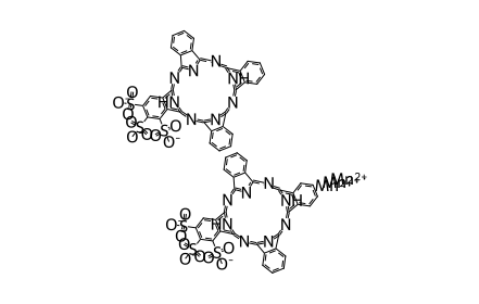 O=S(=O)([O-])c1cc2c3nc4nc(nc5[nH]c(nc6nc(nc([nH]3)c2c(S(=O)(=O)[O-])c1S(=O)(=O)[O-])-c1ccccc1-6)c1ccccc51)-c1ccccc1-4.O=S(=O)([O-])c1cc2c3nc4nc(nc5[nH]c(nc6nc(nc([nH]3)c2c(S(=O)(=O)[O-])c1S(=O)(=O)[O-])-c1ccccc1-6)c1ccccc51)-c1ccccc1-4.[Mn+2].[Mn+2].[Mn+2]